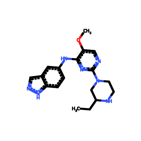 CCC1CN(c2ncc(OC)c(Nc3ccc4[nH]ncc4c3)n2)CCN1